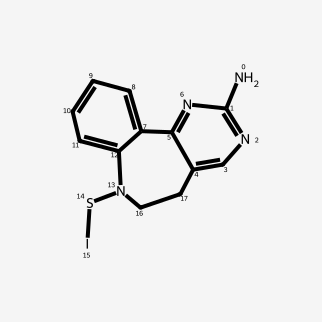 Nc1ncc2c(n1)-c1ccccc1N(SI)CC2